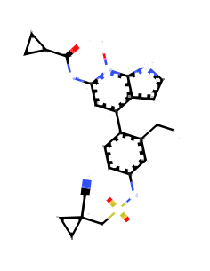 CCc1cc(NS(=O)(=O)CC2(C#N)CC2)ccc1-c1cc(NC(=O)C2CC2)[n+]([O-])c2[nH]ccc12